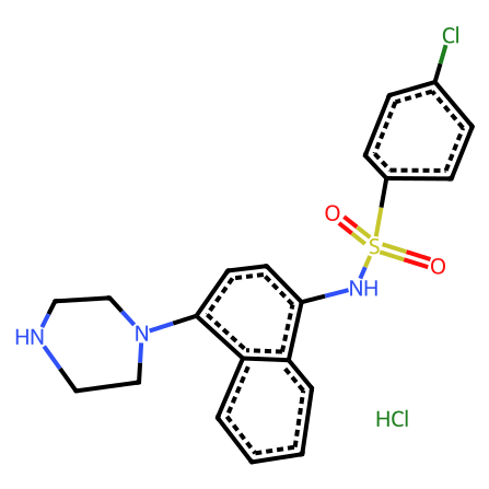 Cl.O=S(=O)(Nc1ccc(N2CCNCC2)c2ccccc12)c1ccc(Cl)cc1